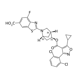 O=C(O)c1cc(F)c2nc(N3C[C@H]4C[C@@H]3C[C@@H]4OC(=O)c3c(-c4c(Cl)cccc4Cl)noc3C3CC3)sc2c1